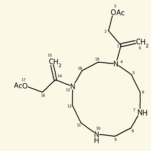 C=C(COC(C)=O)N1CCNCCNCCN(C(=C)COC(C)=O)CC1